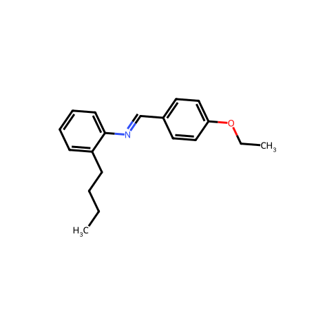 CCCCc1ccccc1N=Cc1ccc(OCC)cc1